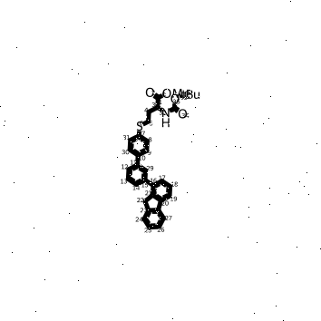 COC(=O)C(CCSc1ccc(-c2cccc(-c3cccc4c3Cc3ccccc3-4)c2)cc1)NC(=O)OC(C)(C)C